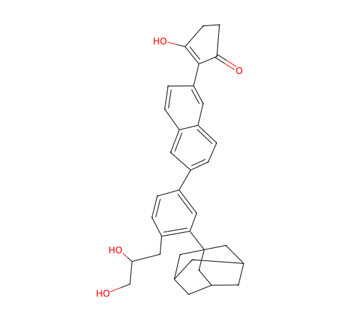 O=C1CCC(O)=C1c1ccc2cc(-c3ccc(CC(O)CO)c(C45CC6CC(CC(C6)C4)C5)c3)ccc2c1